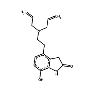 C=CCN(CC=C)CCc1ccc(O)c2c1CC(=O)N2